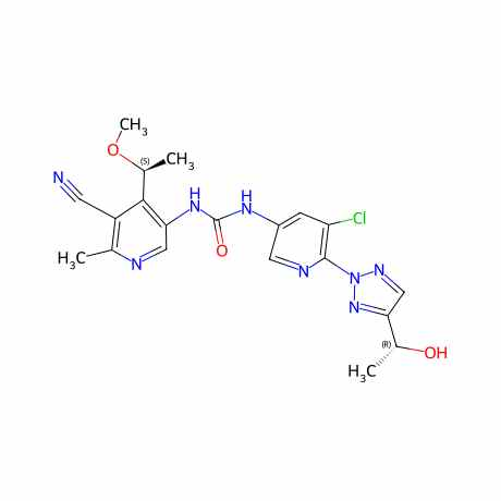 CO[C@@H](C)c1c(NC(=O)Nc2cnc(-n3ncc([C@@H](C)O)n3)c(Cl)c2)cnc(C)c1C#N